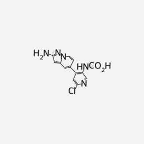 Nc1cc2cc(-c3cc(Cl)ncc3NC(=O)O)ccn2n1